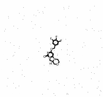 O=c1nc(OCc2cc(F)c(F)c(F)c2)cc2n1C[C@@H]1COCCN21